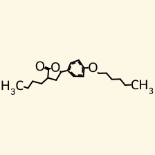 CCCCCCOc1ccc(C2CC(CCCC)C(=O)O2)cc1